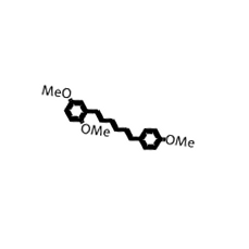 COc1ccc(/C=C/C=C/C=C/c2cc(OC)ccc2OC)cc1